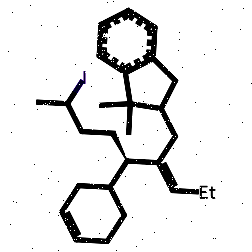 CC/C=C(\CC1Cc2ccccc2C1(C)C)[C@H](CCC(C)I)C1CC=CCC1